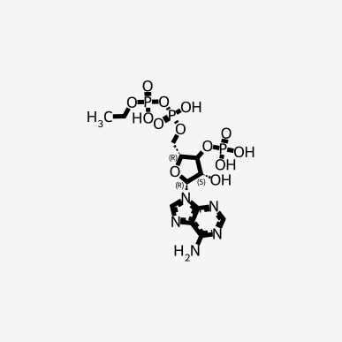 CCOP(=O)(O)OP(=O)(O)OC[C@H]1O[C@@H](n2cnc3c(N)ncnc32)[C@@H](O)C1OP(=O)(O)O